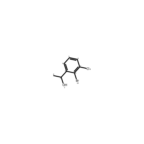 CC(O)c1cccc(Cl)c1Br